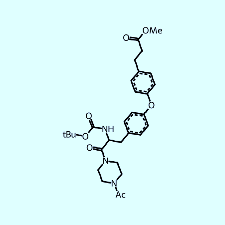 COC(=O)CCc1ccc(Oc2ccc(CC(NC(=O)OC(C)(C)C)C(=O)N3CCN(C(C)=O)CC3)cc2)cc1